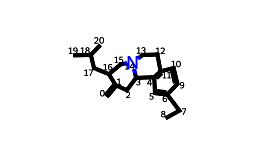 C=C1CC2c3cc(CC)ccc3CCN2CC1CC(C)C